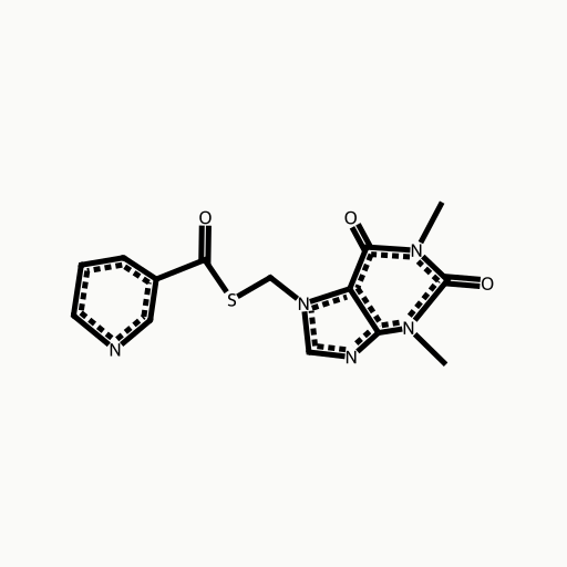 Cn1c(=O)c2c(ncn2CSC(=O)c2cccnc2)n(C)c1=O